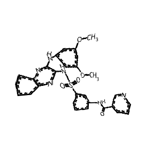 COc1cc(Nc2nc3ccccc3nc2NS(=O)(=O)c2cccc(NC(=O)c3cccnc3)c2)cc(OC)c1